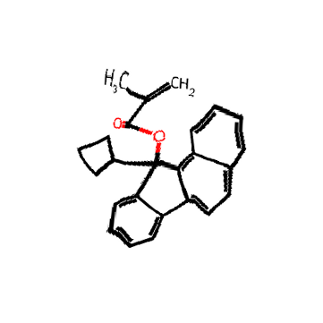 C=C(C)C(=O)OC1(C2CCC2)c2ccccc2-c2ccc3ccccc3c21